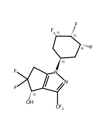 O[C@H]1c2c(C(F)(F)F)nn([C@@H]3C[C@@H](F)[C@@H](F)[C@@H](F)C3)c2CC1(F)F